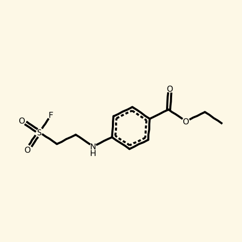 CCOC(=O)c1ccc(NCCS(=O)(=O)F)cc1